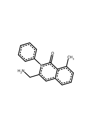 Cc1cccc2cc(CN)n(-c3ccccc3)c(=O)c12